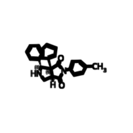 Cc1ccc(N2C(=O)[C@@H]3CN[C@H](c4ccccc4)[C@]3(c3ccccc3)C2=O)cc1